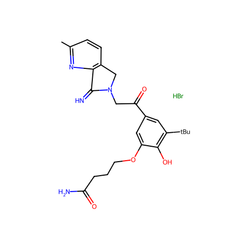 Br.Cc1ccc2c(n1)C(=N)N(CC(=O)c1cc(OCCCC(N)=O)c(O)c(C(C)(C)C)c1)C2